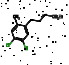 CCOC(=O)CCCc1cc(Cl)c(Cl)cc1C